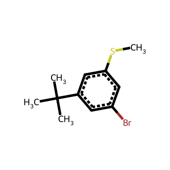 CSc1cc(Br)cc(C(C)(C)C)c1